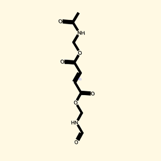 CC(=O)NCOC(=O)/C=C/C(=O)OCNC=O